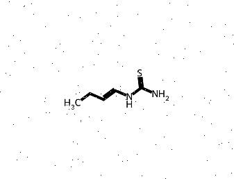 CCC=CNC(N)=S